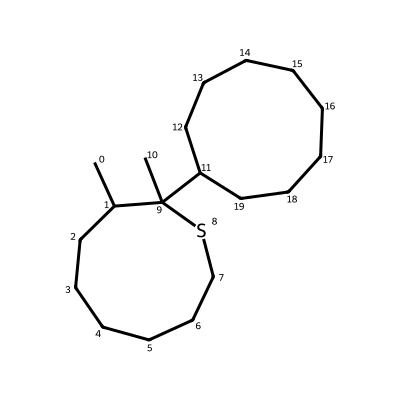 CC1CCCCCCSC1(C)C1CCCCCCCC1